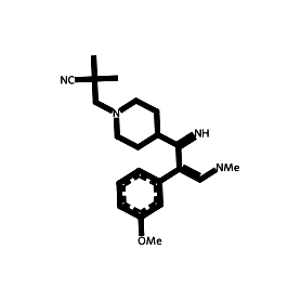 CN/C=C(\C(=N)C1CCN(CC(C)(C)C#N)CC1)c1cccc(OC)c1